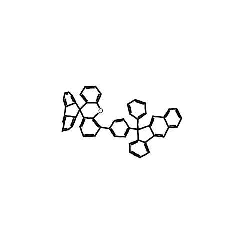 c1ccc(C2(c3ccc(-c4cccc5c4Oc4ccccc4C54c5ccccc5-c5ccccc54)cc3)c3ccccc3-c3cc4ccccc4cc32)cc1